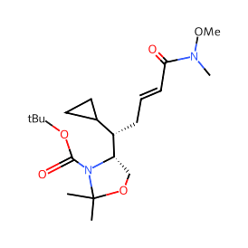 CON(C)C(=O)C=CC[C@@H](C1CC1)[C@@H]1COC(C)(C)N1C(=O)OC(C)(C)C